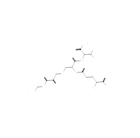 CCOC(=O)C(=O)CSCC(NC(=O)CCC(N)C(=O)O)C(=O)NC(C(=O)O)C(C)C